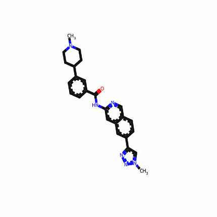 CN1CCC(c2cccc(C(=O)Nc3cc4cc(-c5cn(C)nn5)ccc4cn3)c2)CC1